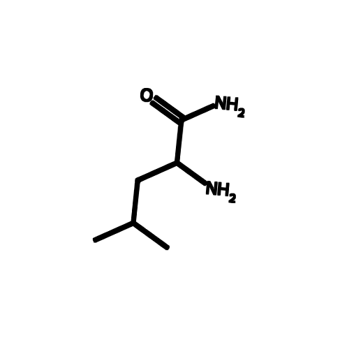 CC(C)CC(N)C(N)=O